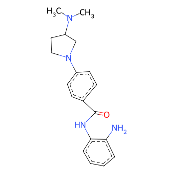 CN(C)C1CCN(c2ccc(C(=O)Nc3ccccc3N)cc2)C1